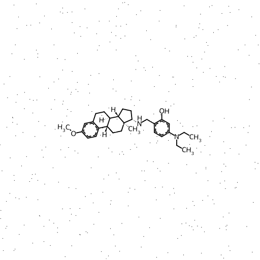 CCN(CC)c1ccc(CN[C@H]2CC[C@H]3[C@@H]4CCc5cc(OC)ccc5[C@H]4CC[C@]23C)c(O)c1